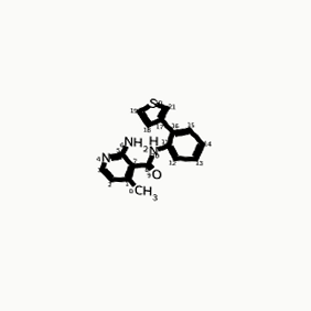 Cc1ccnc(N)c1C(=O)Nc1ccccc1-c1ccsc1